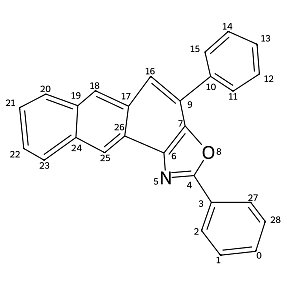 c1ccc(-c2nc3c(o2)c(-c2ccccc2)cc2cc4ccccc4cc23)cc1